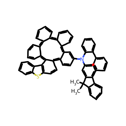 CC1(C)c2ccccc2-c2ccc(N(c3ccc4c(c3)c3ccccc3c3ccccc3c3ccccc3c3c4ccc4sc5ccccc5c43)c3ccccc3-c3ccccc3)cc21